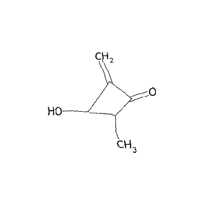 C=C1C(=O)C(C)C1O